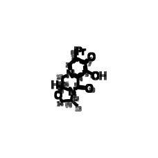 CC(C)c1cn2c(c(O)c1=O)C(=O)N1[C@@H](C)CO[C@@H]1C2